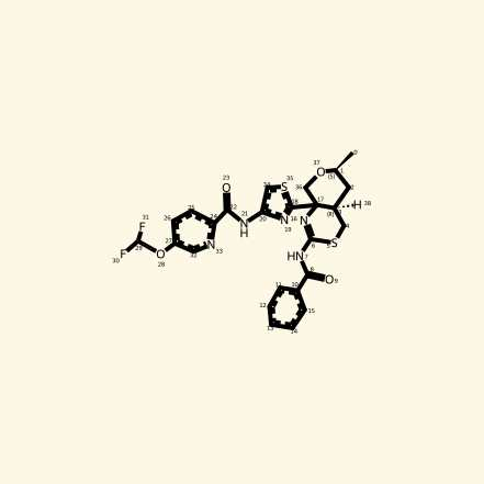 C[C@H]1C[C@H]2CSC(NC(=O)c3ccccc3)=NC2(c2nc(NC(=O)c3ccc(OC(F)F)cn3)cs2)CO1